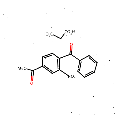 COC(=O)c1ccc(C(=O)c2ccccc2)c([N+](=O)[O-])c1.O=C(O)CC(=O)O